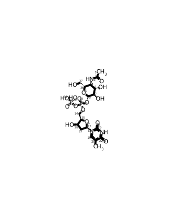 CC(=O)N[C@H]1[C@H](O)[C@@H](O)[C@H](OP(=O)(OC[C@H]2O[C@@H](n3cc(C)c(=O)[nH]c3=O)CC2O)OP(=O)(O)O)O[C@@H]1CO